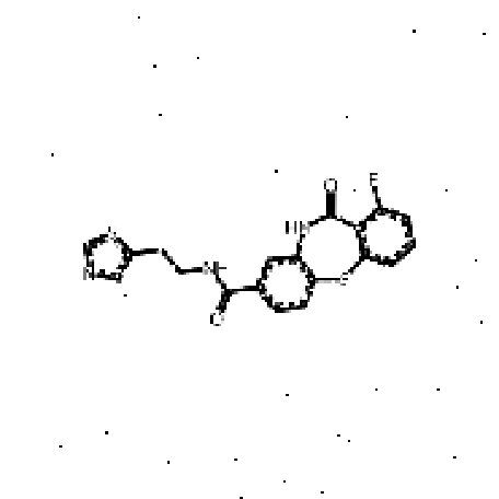 O=C(NCCc1cncs1)c1ccc2c(c1)NC(=O)c1c(F)cccc1S2